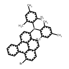 Cc1cc(C)c(B(c2c(C)cc(C)cc2C)c2ccc3c4ccccc4c4c(Br)ccc5ccc2c3c54)c(C)c1